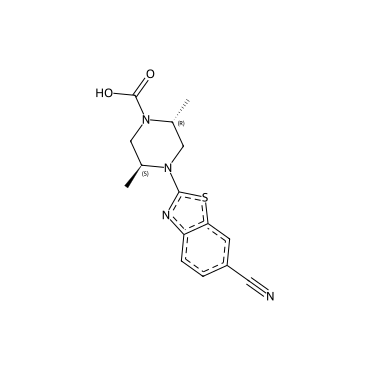 C[C@@H]1CN(c2nc3ccc(C#N)cc3s2)[C@@H](C)CN1C(=O)O